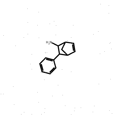 NC1C2C=CC(C2)C1c1ccccc1